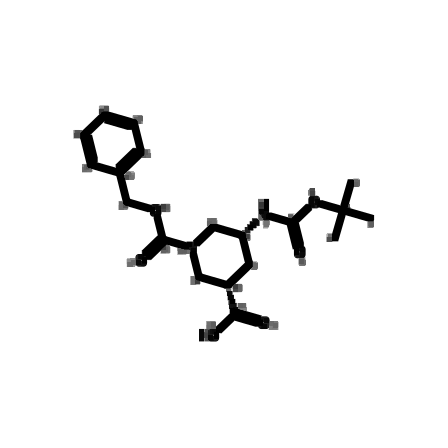 CC(C)(C)OC(=O)N[C@@H]1C[C@H](C(=O)O)CN(C(=O)OCc2ccccc2)C1